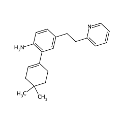 CC1(C)CC=C(c2cc(CCc3ccccn3)ccc2N)CC1